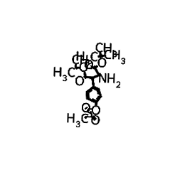 CC(C)OC(=O)C(c1ccc(OS(C)(=O)=O)cc1)C(N)C(=O)OC(C)(C)C